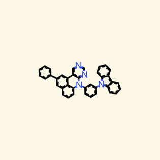 c1ccc(-c2cc3c4c(cccc4c2)N(c2cccc(-n4c5ccccc5c5ccccc54)c2)c2ncncc2-3)cc1